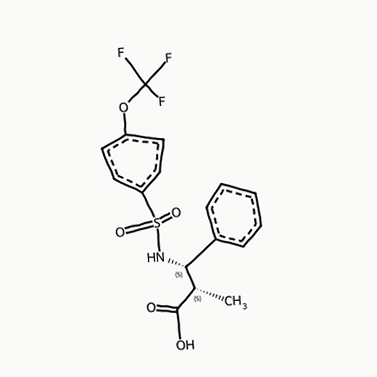 C[C@H](C(=O)O)[C@H](NS(=O)(=O)c1ccc(OC(F)(F)F)cc1)c1ccccc1